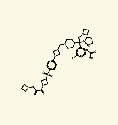 C=C(CN1CCC1)C(=O)N1CC(S(=O)(=O)c2ccc(N3CC(CN4CCC(C(CN5CCC5)(c5cccc(F)c5)[C@H]5CCC[C@@H]5NC(=O)O)CC4)C3)cc2)C1